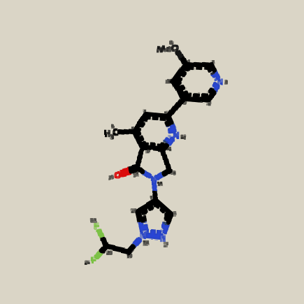 COc1cncc(-c2cc(C)c3c(n2)CN(c2cnn(CC(F)F)c2)C3=O)c1